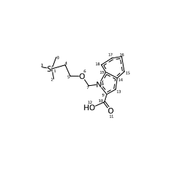 C[Si](C)(C)CCOCn1c(C(=O)O)cc2ccccc21